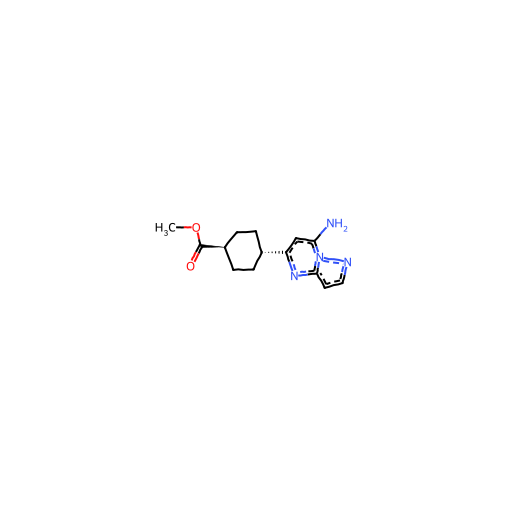 COC(=O)[C@H]1CC[C@H](c2cc(N)n3nccc3n2)CC1